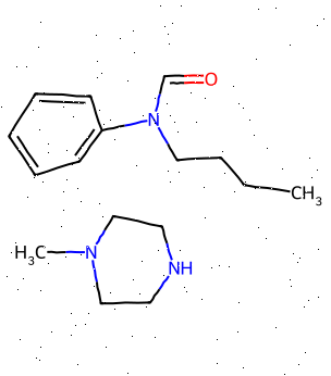 CCCCN(C=O)c1ccccc1.CN1CCNCC1